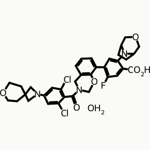 O.O=C(O)c1cc(F)c(-c2cccc3c2OCN(C(=O)c2c(Cl)cc(N4CC5(CCOCC5)C4)cc2Cl)C3)cc1N1C2CCC1COC2